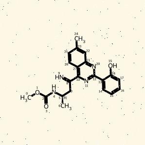 COC(=O)N[C@H](C)CC(=N)c1nc(-c2ccccc2O)nc2cc(C)ccc12